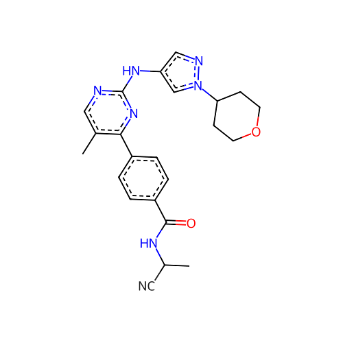 Cc1cnc(Nc2cnn(C3CCOCC3)c2)nc1-c1ccc(C(=O)NC(C)C#N)cc1